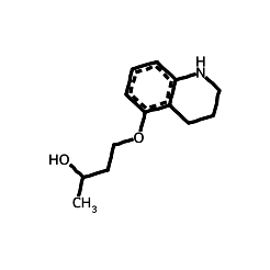 CC(O)CCOc1cccc2c1CCCN2